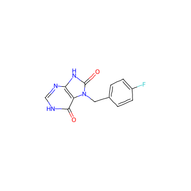 O=c1[nH]cnc2[nH]c(=O)n(Cc3ccc(F)cc3)c12